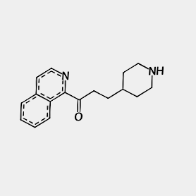 O=C(CCC1CCNCC1)c1nccc2ccccc12